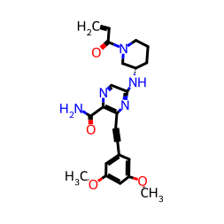 C=CC(=O)N1CCC[C@H](Nc2cnc(C(N)=O)c(C#Cc3cc(OC)cc(OC)c3)n2)C1